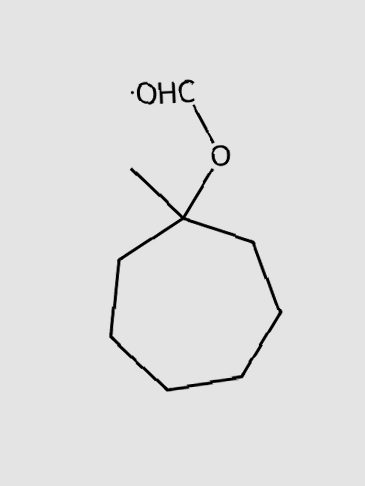 CC1(O[C]=O)CCCCCC1